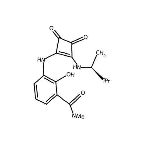 CNC(=O)c1cccc(Nc2c(N[C@@H](C)C(C)C)c(=O)c2=O)c1O